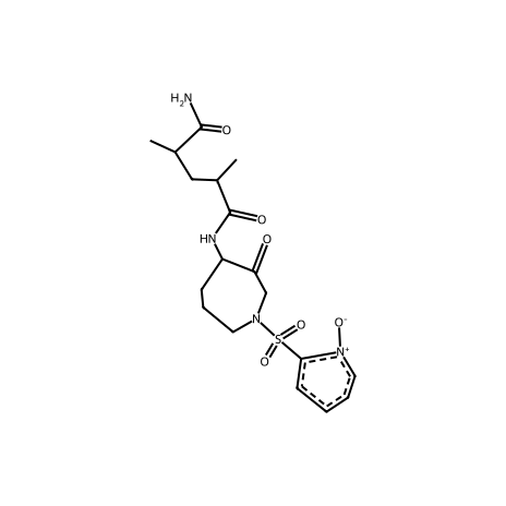 C[C](CC(C)C(N)=O)C(=O)NC1CCCN(S(=O)(=O)c2cccc[n+]2[O-])CC1=O